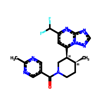 Cc1ncc(C(=O)N2CC[C@@H](C)[C@H](c3cc(C(F)F)nc4ncnn34)C2)cn1